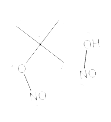 CC(C)(C)ON=O.O=NO